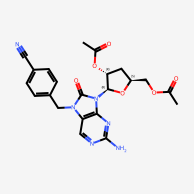 CC(=O)OC[C@@H]1C[C@@H](OC(C)=O)[C@H](n2c(=O)n(Cc3ccc(C#N)cc3)c3cnc(N)nc32)O1